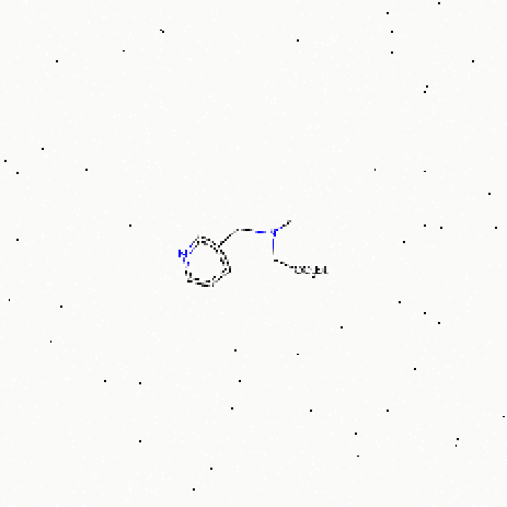 CCOC(=O)CN(C)Cc1cccnc1